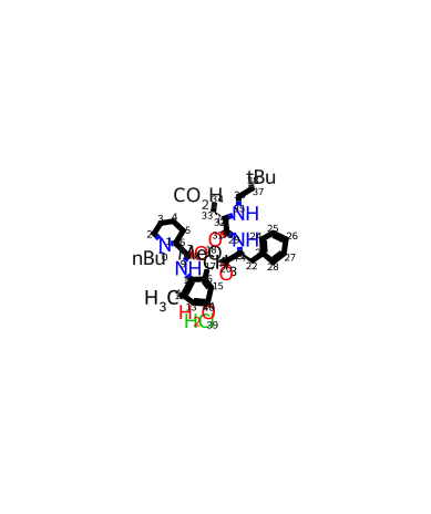 CCCCN1CCCCC1C(=O)Nc1c(C)cccc1C.COC(=O)[C@H](Cc1ccccc1)NC(=O)[C@H](CC(=O)O)NCCC(C)(C)C.Cl.O